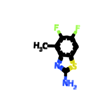 Cc1c(F)c(F)cc2sc(N)nc12